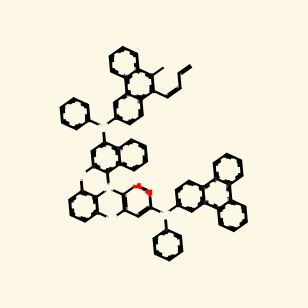 C=C/C=C\c1c(C)c2ccccc2c2cc(N(c3ccccc3)c3cc4c(c5ccccc35)B3C5=C(C=C(N(c6ccccc6)c6ccc7c8ccccc8c8ccccc8c7c6)C6C=CC=CC56)Oc5cccc(c53)O4)ccc12